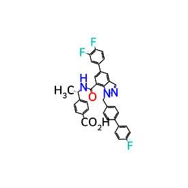 C[C@H](NC(=O)c1cc(-c2ccc(F)c(F)c2)cc2cnn(Cc3ccc(-c4ccc(F)cc4)cc3)c12)c1ccc(C(=O)O)cc1